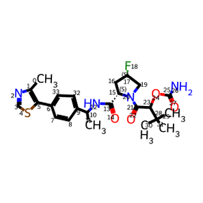 Cc1ncsc1-c1ccc(C(C)NC(=O)[C@@H]2C[C@H](F)CN2C(=O)C(OC(N)=O)C(C)(C)C)cc1